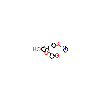 COc1cccc(C2C=C(Cc3ccc(OCCN4CCCCC4)cc3)c3ccc(O)cc3O2)c1